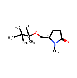 CN1C(=O)CC[C@@H]1CO[Si](C)(C)C(C)(C)C